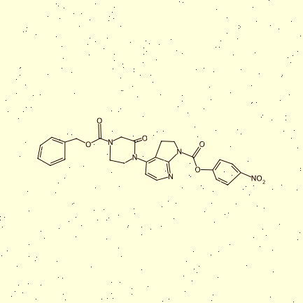 O=C(OCc1ccccc1)N1CCN(c2ccnc3c2CCN3C(=O)Oc2ccc([N+](=O)[O-])cc2)C(=O)C1